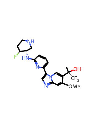 COc1cc2ncc(-c3cccc(N[C@H]4CNCC[C@@H]4F)n3)n2cc1[C@@](C)(O)C(F)(F)F